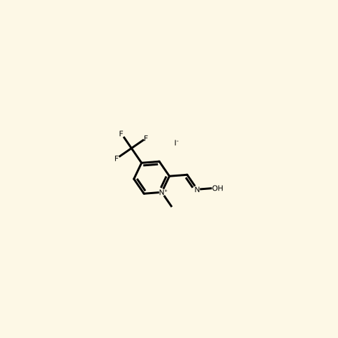 C[n+]1ccc(C(F)(F)F)cc1/C=N/O.[I-]